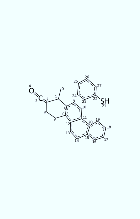 CC1C(=C=O)CCc2c1ccc1c2ccc2ccccc21.Sc1ccccc1